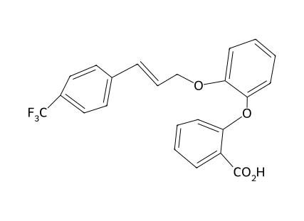 O=C(O)c1ccccc1Oc1ccccc1OCC=Cc1ccc(C(F)(F)F)cc1